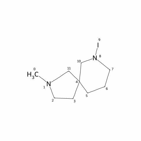 CN1CCC2(CCCN(I)C2)C1